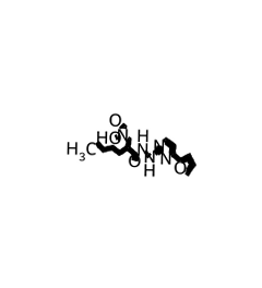 CCCCCC(CN(O)C=O)C(=O)NNc1nccc(-c2ccco2)n1